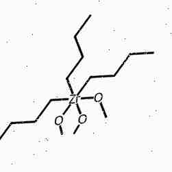 CCC[CH2][Zr]([CH2]CCC)([CH2]CCC)([O]C)([O]C)[O]C